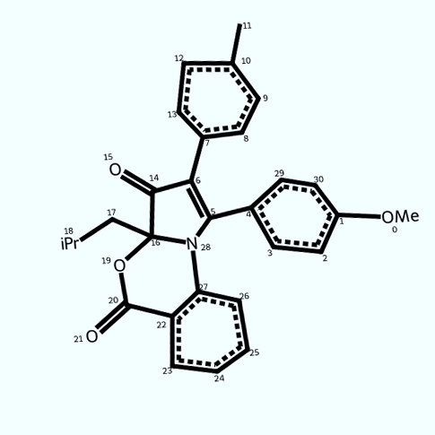 COc1ccc(C2=C(c3ccc(C)cc3)C(=O)C3(CC(C)C)OC(=O)c4ccccc4N23)cc1